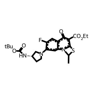 CCOC(=O)c1c2n(c3cc(N4CC[C@H](NC(=O)OC(C)(C)C)C4)c(F)cc3c1=O)C(C)S2